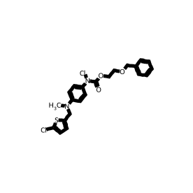 CN(Cc1ccc(Cl)s1)c1ccc(N(Cl)C(=O)OCCOCc2ccccc2)cc1